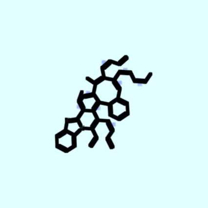 C=C/C=C\C1=C(C)C(=C/C)/C(=c2/c(/C=C\C=C)c(C=C)n3c(nc4ccccc43)/c2=C/C)c2ccccc2/C=C1/C=C\C=C/C